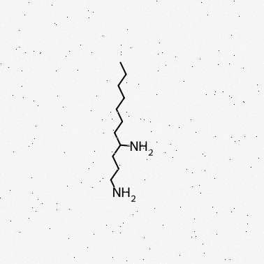 CCCCCCCC(N)CCCN